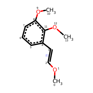 CO/C=C/c1cccc(OC)c1OC